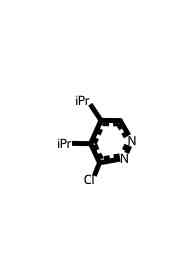 CC(C)c1cnnc(Cl)c1C(C)C